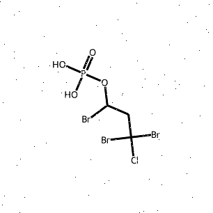 O=P(O)(O)OC(Br)CC(Cl)(Br)Br